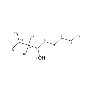 CCCCCC(O)C(C)(C)[C](C)C